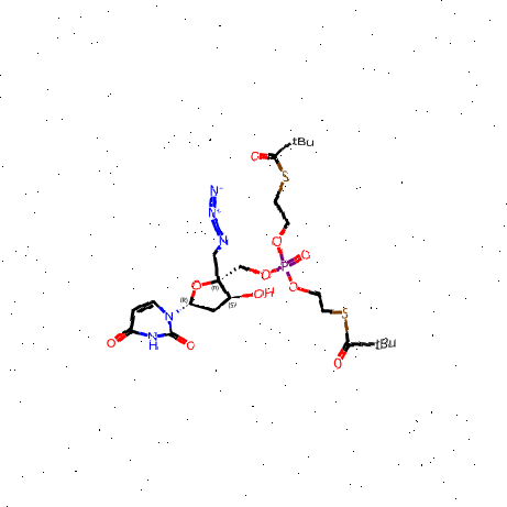 CC(C)(C)C(=O)SCCOP(=O)(OCCSC(=O)C(C)(C)C)OC[C@@]1(CN=[N+]=[N-])O[C@@H](n2ccc(=O)[nH]c2=O)C[C@@H]1O